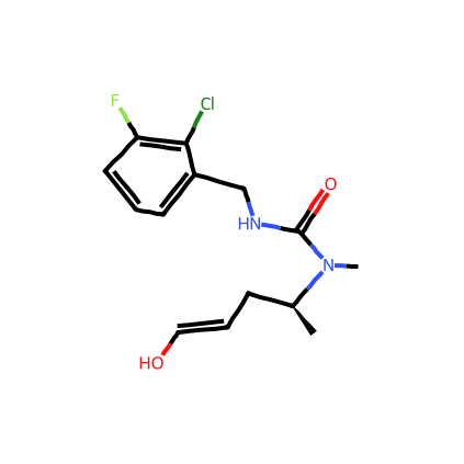 C[C@@H](CC=CO)N(C)C(=O)NCc1cccc(F)c1Cl